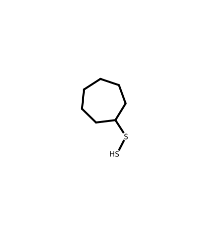 SSC1CCCCCC1